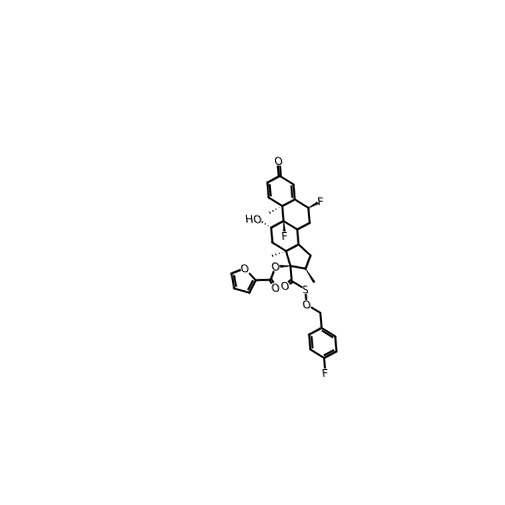 C[C@@H]1CC2C3C[C@H](F)C4=CC(=O)C=C[C@]4(C)[C@@]3(F)[C@@H](O)C[C@]2(C)[C@@]1(OC(=O)c1ccco1)C(=O)SOCc1ccc(F)cc1